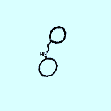 c1ccccc(CCNC2CCCCCCCCCC2)cccc1